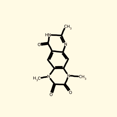 Cc1nc2cc3c(cc2c(=O)[nH]1)n(C)c(=O)c(=O)n3C